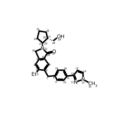 CCc1cc2c(cc1Cc1ccc(-c3ccn(C)n3)cc1)C(=O)N([C@H]1CCC[C@@H]1CO)C2